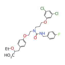 CCOC(Cc1ccc(OCCN(CCCOc2cc(Cl)cc(Cl)c2)C(=O)NCc2ccc(F)cc2)cc1)C(=O)O